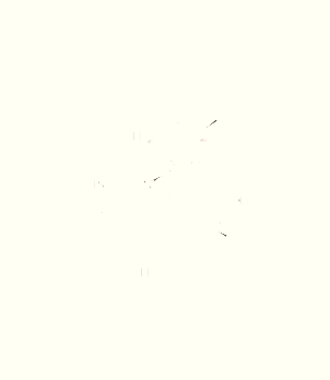 CC(O)[C@@H]1O[C@H]([C@@]2(n3ccc(=O)[nH]c3=O)O[C@H](CO)[C@@H](O)[C@H]2O)[C@@](O)(F)[C@H]1O